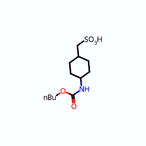 CCCCOC(=O)NC1CCC(CS(=O)(=O)O)CC1